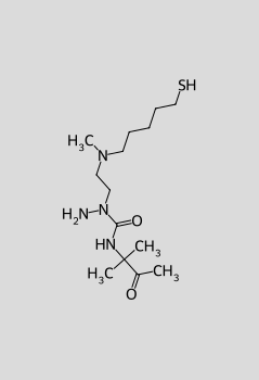 CC(=O)C(C)(C)NC(=O)N(N)CCN(C)CCCCCS